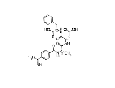 C[C@H](NC(=O)c1ccc(C(=N)N)cc1)C(=O)N[C@@H](CC(=O)O)C(=O)N[C@@H](Cc1ccccc1)C(=O)O